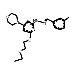 CCOCCOc1cc(N2CCOCC2)cc(NN=Cc2cccc(C)c2)n1